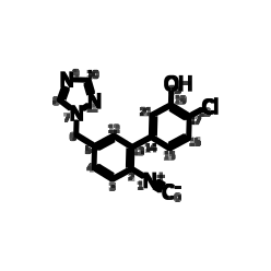 [C-]#[N+]c1ccc(Cn2cncn2)cc1-c1ccc(Cl)c(O)c1